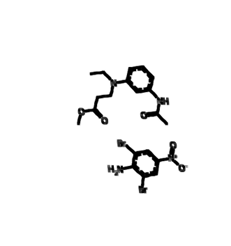 CCN(CCC(=O)OC)c1cccc(NC(C)=O)c1.Nc1c(Br)cc([N+](=O)[O-])cc1Br